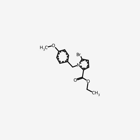 CCOC(=O)c1ccc(Br)n1Cc1ccc(OC)cc1